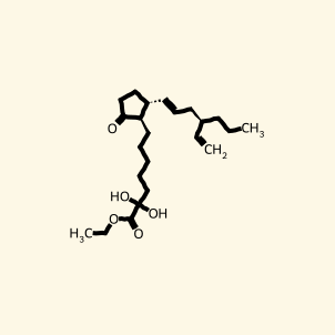 C=C[C@@H](CC=C[C@H]1CCC(=O)[C@@H]1CCCCCC(O)(O)C(=O)OCC)CCC